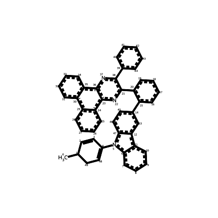 CC1C=CC(n2c3ccccc3c3cc(-c4ccccc4-c4nc5c6ccccc6c6ccccc6c5nc4-c4ccccc4)ccc32)=CC1